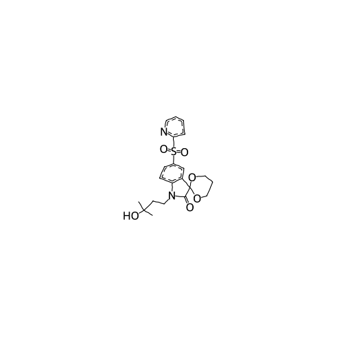 CC(C)(O)CCN1C(=O)C2(OCCCO2)c2cc(S(=O)(=O)c3ccccn3)ccc21